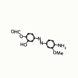 COc1cc(N=Nc2ccc(OC=O)c(O)c2)ccc1N